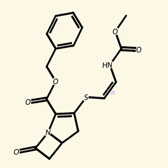 COC(=O)N/C=C\SC1=C(C(=O)OCc2ccccc2)N2C(=O)CC2C1